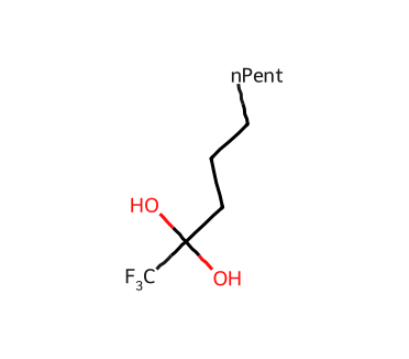 CCCCCCCCC(O)(O)C(F)(F)F